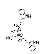 O=C(CCc1c[nH]c2ccccc12)O[C@H]1COC(O)C[C@H]1OC(=O)CCc1c[nH]c2ccccc12